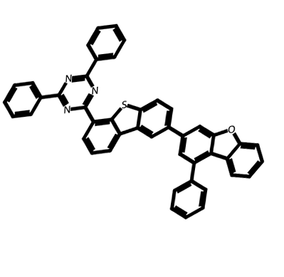 c1ccc(-c2nc(-c3ccccc3)nc(-c3cccc4c3sc3ccc(-c5cc(-c6ccccc6)c6c(c5)oc5ccccc56)cc34)n2)cc1